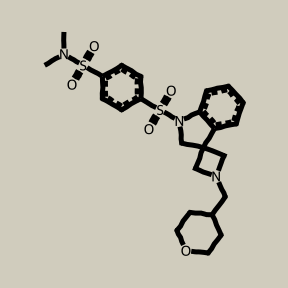 CN(C)S(=O)(=O)c1ccc(S(=O)(=O)N2CC3(CN(CC4CCOCC4)C3)c3ccccc32)cc1